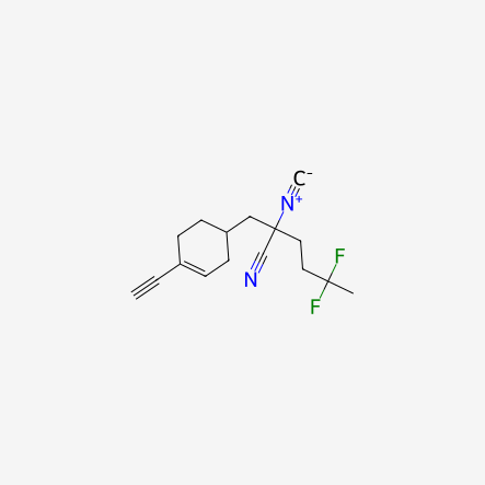 [C-]#[N+]C(C#N)(CCC(C)(F)F)CC1CC=C(C#C)CC1